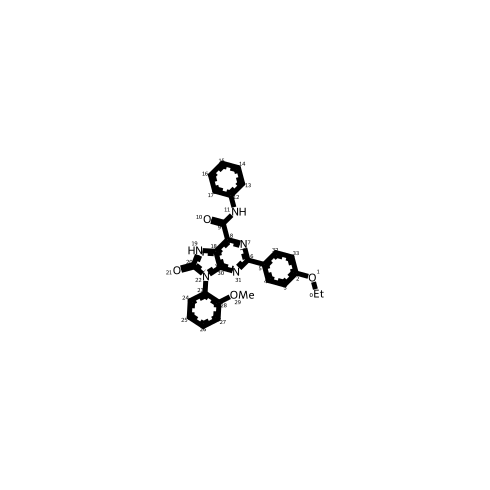 CCOc1ccc(-c2nc(C(=O)Nc3ccccc3)c3[nH]c(=O)n(-c4ccccc4OC)c3n2)cc1